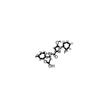 COc1cc(C(=O)N[C@@H](CC(=O)O)c2ccc(C)cc2)nn1-c1ccccc1F